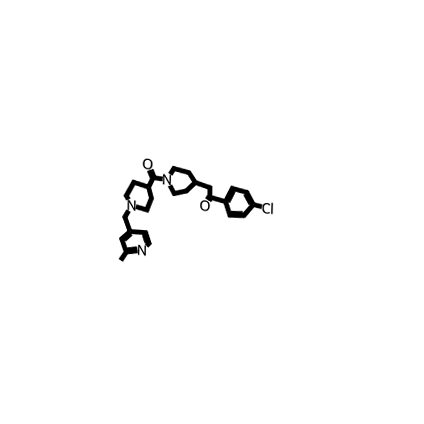 Cc1cc(CN2CCC(C(=O)N3CCC(CC(=O)c4ccc(Cl)cc4)CC3)CC2)ccn1